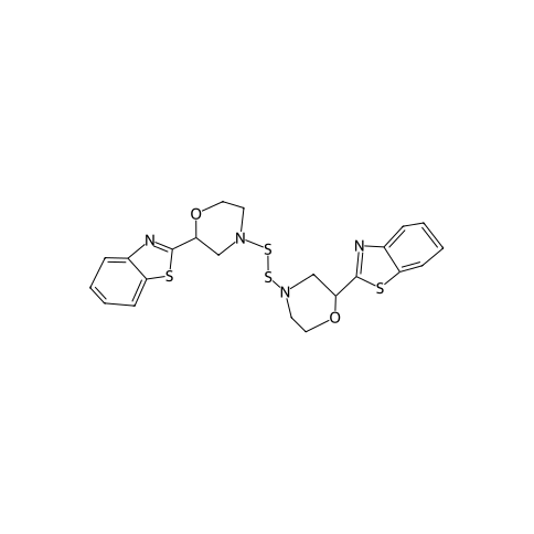 c1ccc2sc(C3CN(SSN4CCOC(c5nc6ccccc6s5)C4)CCO3)nc2c1